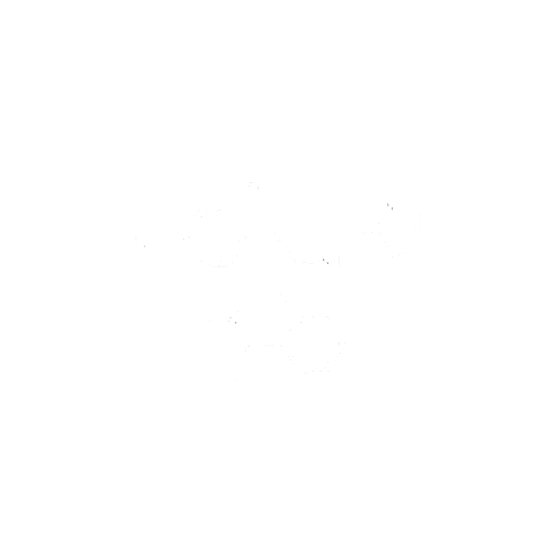 CN1C(=O)c2ccccc2C(C(=O)NCc2cccn2C)C1c1cc(C(F)(F)F)cc(C(F)(F)F)c1